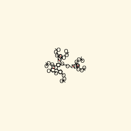 CC(=O)OCOC(=O)CN(CCOCCOc1cc(-c2c3ccc(=O)cc-3oc3cc(OCOC(C)=O)ccc23)c(C(=O)OCOC(C)=O)cc1N(CC(=O)OCOC(C)=O)CC(=O)OCOC(C)=O)CC(=O)OCOC(C)=O